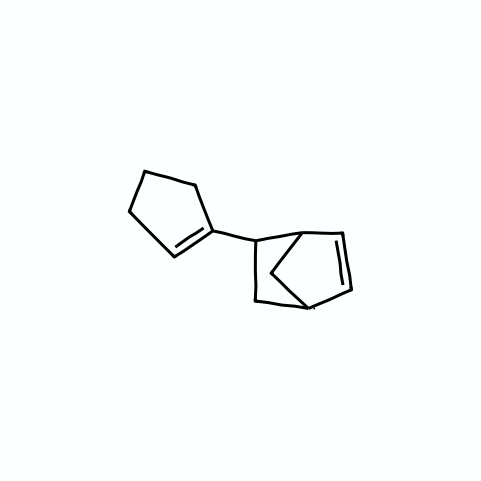 C1=CC2C[C]1CC2C1=CCCC1